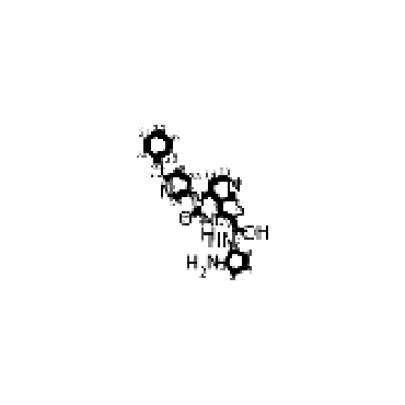 N[C@@H]1CCC[C@H]1NC(O)c1sc2nccc3c2c1NC(=O)N3c1ccc(Oc2ccccc2)nc1